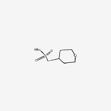 CC(C)(C)S(=O)(=O)CC1CCOCC1